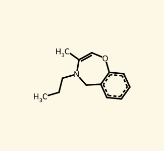 CCCN1Cc2ccccc2OC=C1C